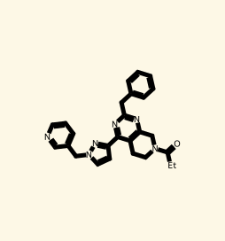 CCC(=O)N1CCc2c(nc(Cc3ccccc3)nc2-c2ccn(Cc3cccnc3)n2)C1